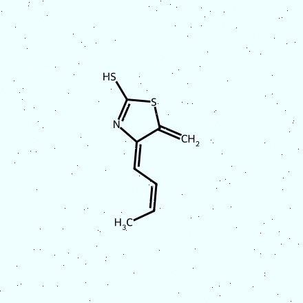 C=c1sc(S)n/c1=C/C=C\C